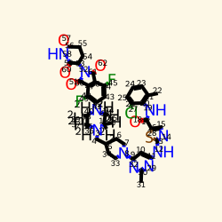 [2H]C1([2H])N(CC2CCN(c3cc(Nc4ncc(C(=O)Nc5c(C)cccc5Cl)s4)nc(C)n3)CC2)C([2H])([2H])C([2H])([2H])N(c2cc(F)c3c(c2F)C(=O)N(C2CCC(=O)NC2=O)C3=O)C1([2H])[2H]